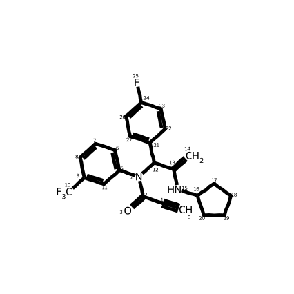 C#CC(=O)N(c1cccc(C(F)(F)F)c1)C(C(=C)NC1CCCC1)c1ccc(F)cc1